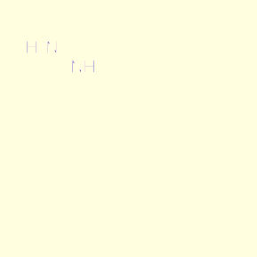 Cc1cccc2ccccc12.N.N